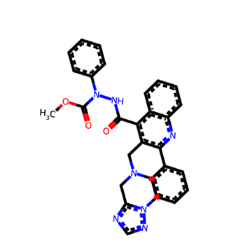 COC(=O)N(NC(=O)c1c(CN2CCn3ncnc3C2)c(-c2ccccc2)nc2ccccc12)c1ccccc1